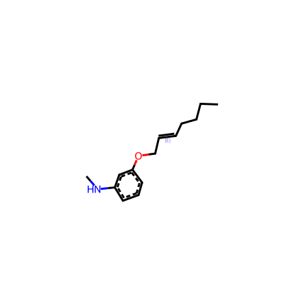 CCCC/C=C/COc1cccc(NC)c1